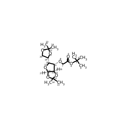 CC(C)(C)OC(=O)CO[C@@H]1[C@H]2OC(C)(C)O[C@H]2O[C@@H]1C1COC(C)(C)O1